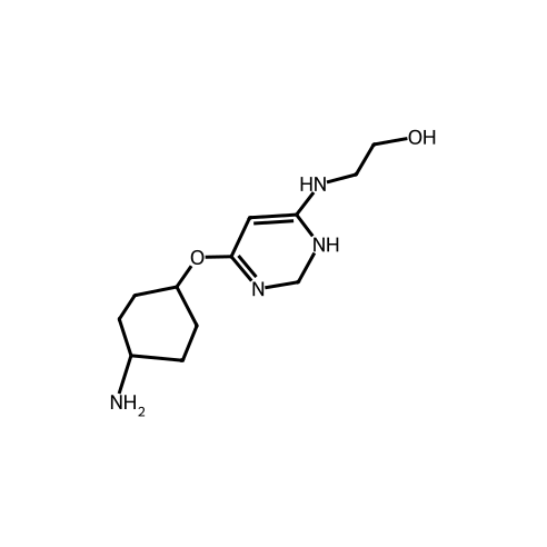 NC1CCC(OC2=NCNC(NCCO)=C2)CC1